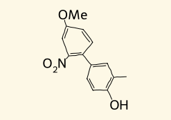 COc1ccc(-c2ccc(O)c(C)c2)c([N+](=O)[O-])c1